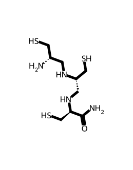 NC(=O)[C@@H](CS)NC[C@@H](CS)NC[C@H](N)CS